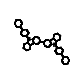 C1CCC(C2CCC(N3C4CCCCC4C4CC(C5CCC6C(C5)C5CCCCC5N6C5CCC(C6CCCCC6)CC5)CCC43)CC2)CC1